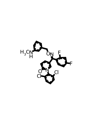 CNc1cccc(CO/N=C(\c2ccc(=O)n(-c3c(Cl)cccc3Cl)c2)c2ccc(F)cc2F)c1